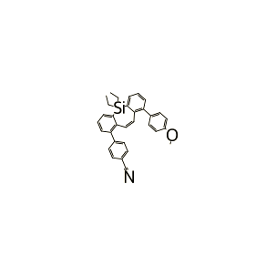 CC[Si]1(CC)c2cccc(-c3ccc(C#N)cc3)c2C=Cc2c(-c3ccc(OC)cc3)cccc21